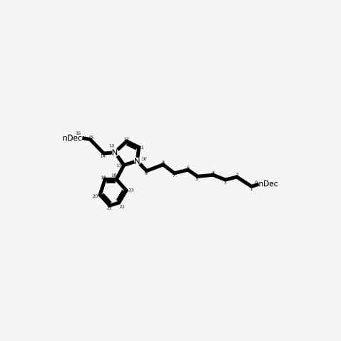 CCCCCCCCCCCCCCCCCCCN1C=CN(CCCCCCCCCCCC)C1c1ccccc1